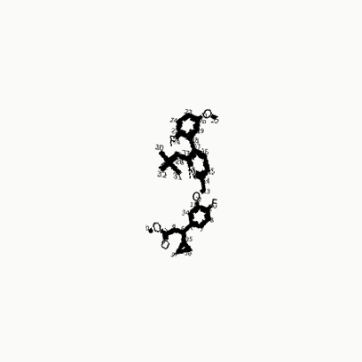 COC(=O)CC(c1ccc(F)c(OCc2ccc(-c3cc(OC)ccc3F)c(CC(C)(C)C)n2)c1)C1CC1